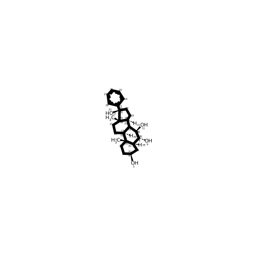 C[C@]12CC[C@H](O)C[C@@H]1[C@@H](O)[C@H](O)C1[C@@H]2CC[C@@]2(C)[C@H]1CC[C@@]2(O)c1ccccc1